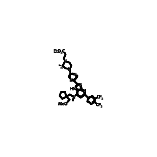 CCOC(=O)CCN1CCN(c2cnc(-c3nc4nc(-c5cnc(C(F)(F)F)c(C(F)(F)F)c5)cc(N(C)CC5(COC)CCCC5)c4[nH]3)cn2)C[C@@H]1C